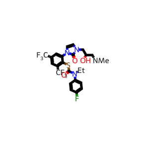 CCN(C(=O)Sc1c(-n2ccn(CC(O)CNC)c2=O)cc(C(F)(F)F)cc1C(F)(F)F)c1ccc(F)cc1